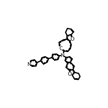 C1=Cc2oc3cccc(N(c4ccc(-c5ccc(-c6ccncc6)cc5)cc4)c4ccc5cc6c7c(oc6cc5c4)C=CCC7)ccccc3c2CC1